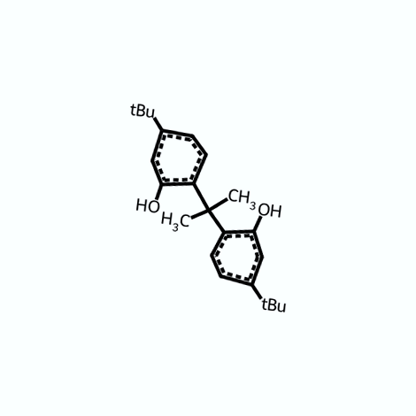 CC(C)(C)c1ccc(C(C)(C)c2ccc(C(C)(C)C)cc2O)c(O)c1